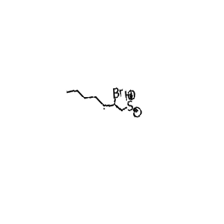 CCCC[CH]C(Br)C[SH](=O)=O